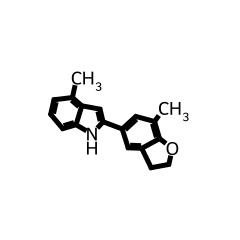 Cc1cc(-c2cc3c(C)cccc3[nH]2)cc2c1OCC2